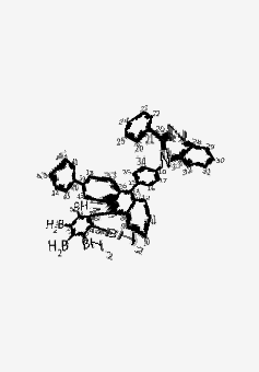 Bc1c(B)c(B)c(-c2c3ccccc3c(-c3ccc(-n4c(-c5ccccc5)nc5ccccc54)cc3)c3ccc(-c4ccccc4)cc23)c(B)c1B